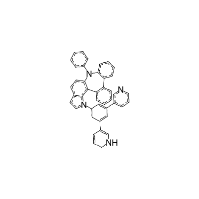 C1=CC(C2=CC(c3cccnc3)=CC(n3ccc4ccc5c(c43)-c3ccccc3-c3ccccc3N5c3ccccc3)C2)=CNC1